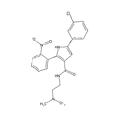 CN(C)CCNC(=O)c1cc(-c2cccc(Cl)c2)[nH]c1-c1ccccc1[N+](=O)[O-]